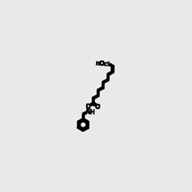 CCCCCCCC/C=C\CCCCCCCC(=O)ONCc1ccccc1